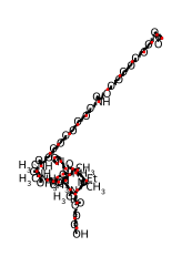 CCC1=C(C)c2cc3[nH]c(cc4nc(c5c6[nH]c(cc1n2)c(C)c6C(=O)N(CCN1CCOCC1)C5=O)[C@@H](CCC(=O)N(C)CCNC(=O)[C@H](C)NC(=O)[C@H](C)NC(=O)CCOCCOCCOCCOCCOCCOCCOCCOCCNC(=O)CCOCCOCCOCCOCCOCCOCCOCCOCCN1C(=O)C=CC1=O)[C@@H]4C)c(C)c3/C=C/C(=O)OCCOCCOCCO